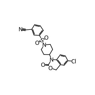 N#Cc1cccc(S(=O)(=O)N2CCC(N3C(=O)OCc4cc(Cl)ccc43)CC2)c1